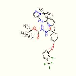 CC(C)(C)OC(=O)NNC(=O)[C@]1(Cc2cccc(Nc3ccnn3C(C)(C)C)n2)CC[C@@H](Oc2cccc(C(F)(F)F)c2F)CC1